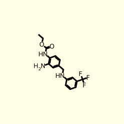 CCOC(=O)Nc1ccc(CNc2cccc(C(F)(F)F)c2)cc1N